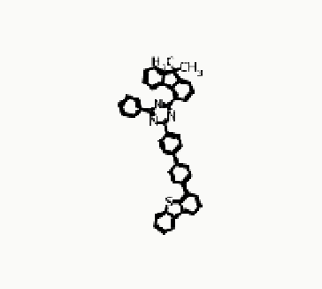 CC1(C)c2ccccc2-c2c(-c3nc(-c4ccccc4)nc(-c4ccc(-c5ccc(-c6cccc7c6sc6ccccc67)cc5)cc4)n3)cccc21